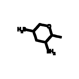 BC1COC(C)C(B)C1